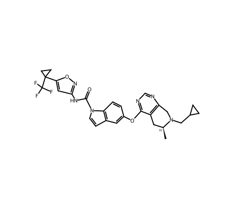 C[C@H]1Cc2c(ncnc2Oc2ccc3c(ccn3C(=O)Nc3cc(C4(C(F)(F)F)CC4)on3)c2)CN1CC1CC1